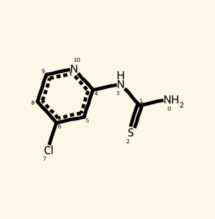 NC(=S)Nc1cc(Cl)ccn1